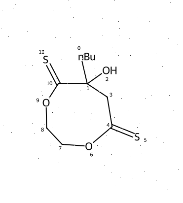 CCCCC1(O)CC(=S)OCCOC1=S